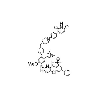 COc1cc(N2CCC(CN3CCN(c4ccc(-n5ccc(=O)[nH]c5=O)cc4)CC3)CC2)c(-c2cnn(C)c2)cc1Nc1ncc(Cl)c(Nc2ccc(-c3ccccc3)cc2P(C)(C)=O)n1